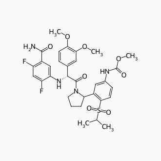 COC(=O)Nc1ccc(S(=O)(=O)C(C)C)c(C2CCCN2C(=O)[C@H](Nc2cc(C(N)=O)c(F)cc2F)c2ccc(OC)c(OC)c2)c1